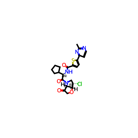 Cc1nccc(-c2ccc(C(=O)N[C@H](C(=O)N3C[C@H](Cl)[C@H]4OCC(=O)[C@H]43)C3CCCC3)s2)n1